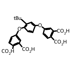 CC(C)(C)c1cc(Oc2ccc(C(=O)O)c(C(=O)O)c2)ccc1Oc1ccc(C(=O)O)c(C(=O)O)c1